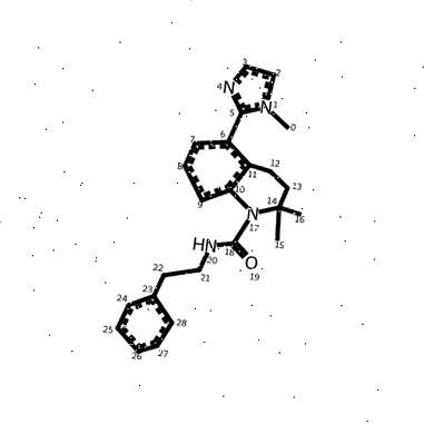 Cn1ccnc1-c1cccc2c1CCC(C)(C)N2C(=O)NCCc1ccccc1